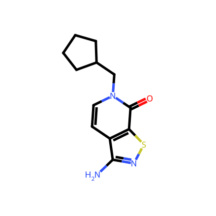 Nc1nsc2c(=O)n(CC3CCCC3)ccc12